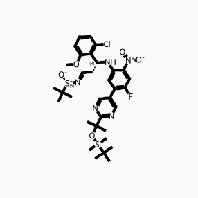 COc1cccc(Cl)c1[C@@H](CC=N[S@+]([O-])C(C)(C)C)Nc1cc(-c2cnc(C(C)(C)O[Si](C)(C)C(C)(C)C)nc2)c(F)cc1[N+](=O)[O-]